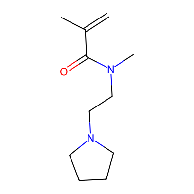 C=C(C)C(=O)N(C)CCN1CCCC1